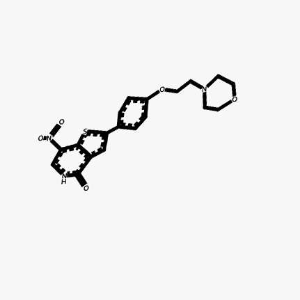 O=c1[nH]cc([N+](=O)[O-])c2sc(-c3ccc(OCCN4CCOCC4)cc3)cc12